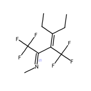 CCC(CC)=C(/C(=N/C)C(F)(F)F)C(F)(F)F